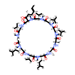 C/C=C/C[C@@H](C)C(=O)C1C(=O)N[C@@H](C(C)C)C(=O)N(C)CC(=O)N(C)[C@@H](CCC(C)C)C(=O)N[C@@H](C(C)C)C(=O)N(C)[C@@H](CCC(C)C)C(=O)N[C@@H](C)C(=O)N[C@H](C)C(=O)N(C)[C@@H](CC(C)C)C(=O)N(C)[C@@H](CC(C)C)C(=O)N(C)[C@@H](C(C)C)C(=O)N1C